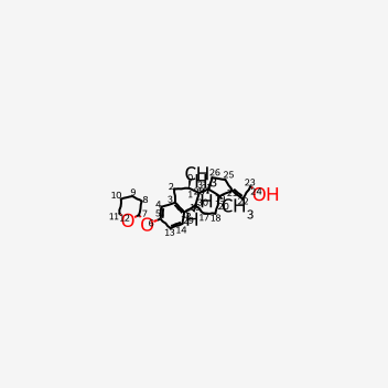 C[C@@H]1Cc2cc(OC3CCCCO3)ccc2[C@H]2CC[C@]3(C)/C(=C/CO)CC[C@H]3[C@H]12